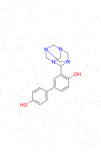 Oc1ccc(-c2ccc(O)c(C3N4CN5CN(C4)CN3C5)c2)cc1